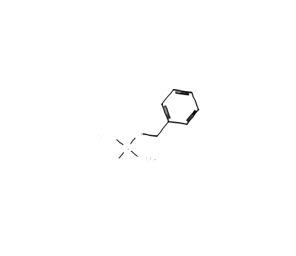 CO[Si](O)(OC)OCc1ccccc1